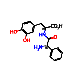 N[C@H](C(=O)N[C@@H](Cc1ccc(O)c(O)c1)C(=O)O)c1ccccc1